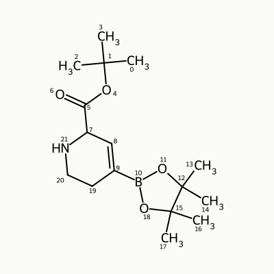 CC(C)(C)OC(=O)C1C=C(B2OC(C)(C)C(C)(C)O2)CCN1